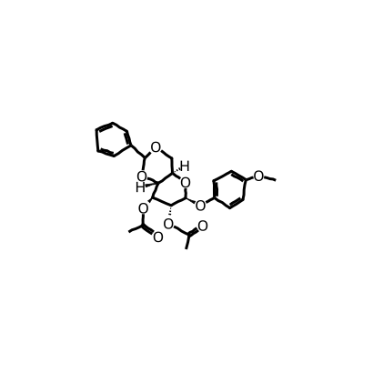 COc1ccc(O[C@@H]2O[C@@H]3COC(c4ccccc4)O[C@H]3[C@H](OC(C)=O)[C@H]2OC(C)=O)cc1